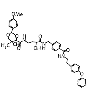 COc1ccc(C2OCC(C)(C)[C@H](C(=O)NCCC(O)C(=O)NCc3ccc(C(=O)NCCc4ccc(Oc5ccccc5)cc4)cc3)O2)cc1